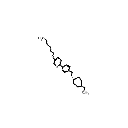 CCCCCCOc1cnc(-c2ccc(CC[C@H]3CC[C@H](CC)CC3)cc2)nc1